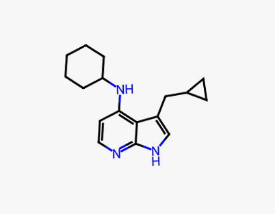 c1cc(NC2CCCCC2)c2c(CC3CC3)c[nH]c2n1